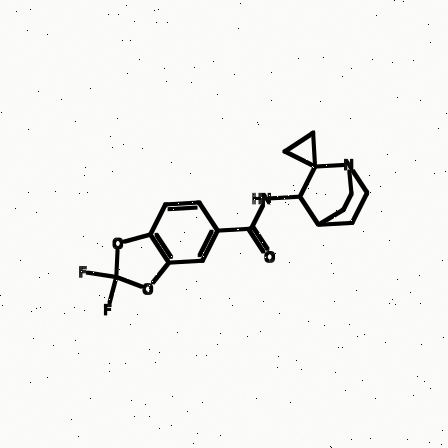 O=C(NC1C2CCN(CC2)C12CC2)c1ccc2c(c1)OC(F)(F)O2